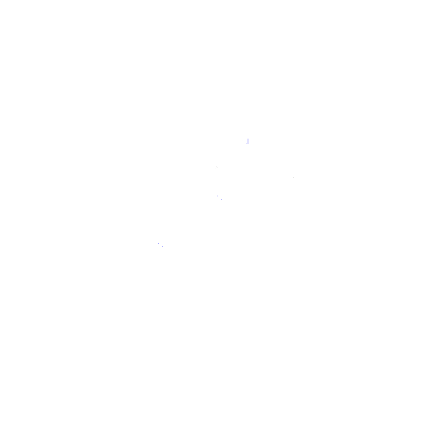 Clc1cncc(N2C[C@H]3C[C@@H]2CN3)c1